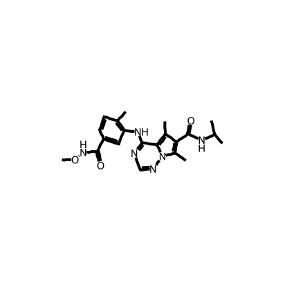 CONC(=O)c1ccc(C)c(Nc2ncnn3c(C)c(C(=O)NC(C)C)c(C)c23)c1